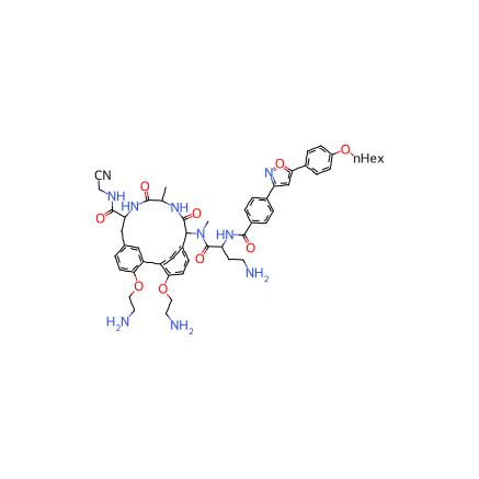 CCCCCCOc1ccc(-c2cc(-c3ccc(C(=O)NC(CCN)C(=O)N(C)C4C(=O)NC(C)C(=O)NC(C(=O)NCC#N)Cc5ccc(OCCN)c(c5)-c5cc4ccc5OCCN)cc3)no2)cc1